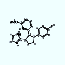 COc1nccc(C2C(c3ccc(F)cc3)CCC2c2ncc[nH]2)n1